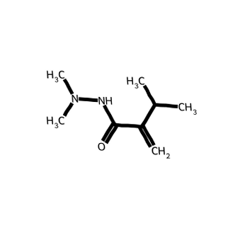 C=C(C(=O)NN(C)C)C(C)C